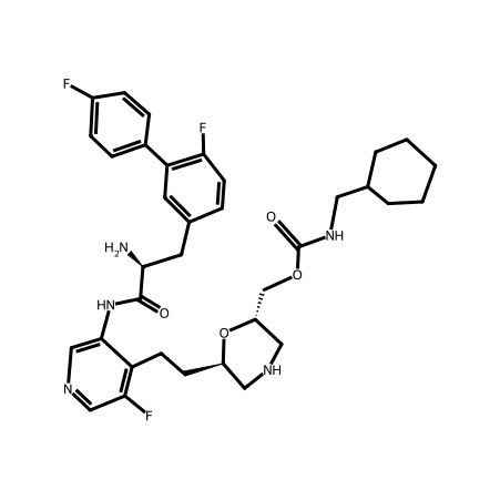 N[C@@H](Cc1ccc(F)c(-c2ccc(F)cc2)c1)C(=O)Nc1cncc(F)c1CC[C@@H]1CNC[C@@H](COC(=O)NCC2CCCCC2)O1